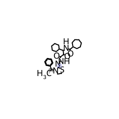 C[C@H](c1ccccc1)N1CCS/C1=N\NC(=O)C(=O)C(NC(=O)C1CCCCCC1)C1CCCCC1